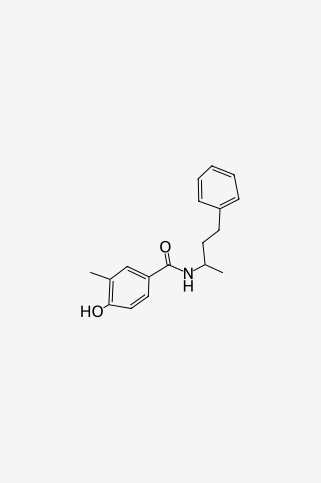 Cc1cc(C(=O)NC(C)CCc2ccccc2)ccc1O